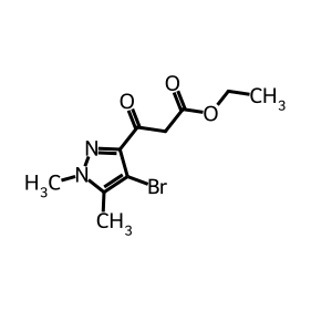 CCOC(=O)CC(=O)c1nn(C)c(C)c1Br